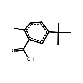 Cc1ccc(C(C)(C)C)cc1C(=O)O